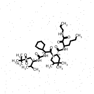 C=CCNC(=O)C(=O)C(CCCC)NC(=O)[C@@H]1CC(C)(C)C(C)CN1C(=O)[C@@H](NC(=O)N[C@H](CS(=O)(=O)C(C)(C)C)C(C)C)C1CCCCC1